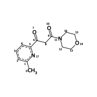 Cc1cccc(C(=O)CC(=O)N2CCOCC2)n1